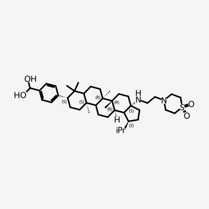 CC(C)[C@@H]1CC[C@]2(NCCN3CCS(=O)(=O)CC3)CC[C@]3(C)[C@H](CCC4[C@@]5(C)CC[C@H](c6ccc(C(O)O)cc6)C(C)(C)C5CC[C@]43C)C12